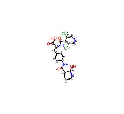 O=C(Nc1ccc(C[C@H](NC(=O)c2c(Cl)cncc2Cl)C(=O)O)cc1)c1cccnc1O